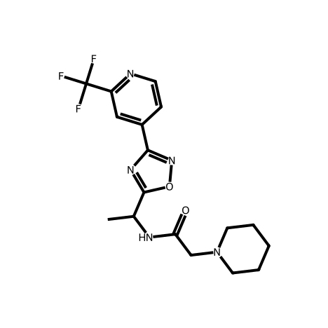 CC(NC(=O)CN1CCCCC1)c1nc(-c2ccnc(C(F)(F)F)c2)no1